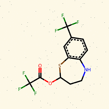 O=C(OC1CCNc2ccc(C(F)(F)F)cc2S1)C(F)(F)F